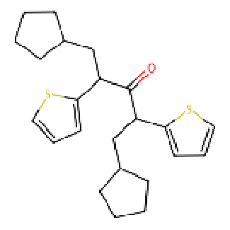 O=C(C(CC1CCCC1)c1cccs1)C(CC1CCCC1)c1cccs1